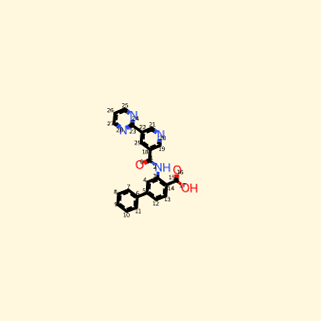 O=C(Nc1cc(-c2ccccc2)ccc1C(=O)O)c1cncc(-c2ncccn2)c1